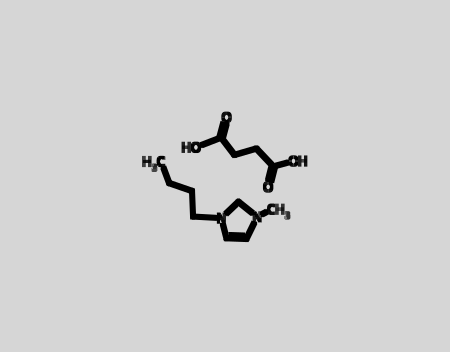 CCCCN1C=CN(C)C1.O=C(O)CCC(=O)O